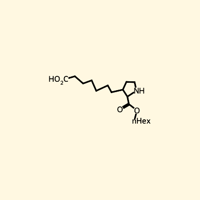 CCCCCCOC(=O)C1NCCC1CCCCCCC(=O)O